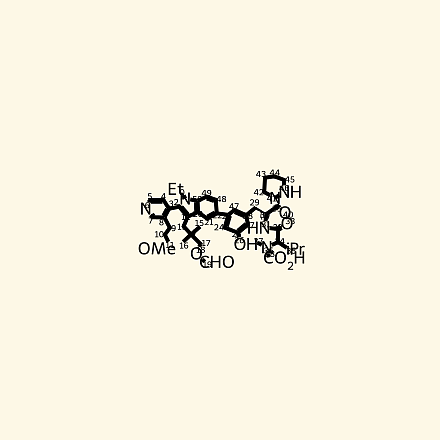 CCn1c(-c2ccncc2CCOC)c(CC(C)(C)COC=O)c2cc(-c3cc(O)cc(C[C@H](NC(=O)C(C(C)C)N(C)C(=O)O)C(=O)N4CCCCN4)c3)ccc21